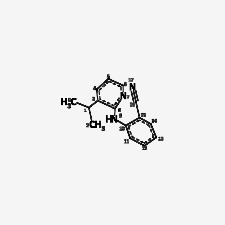 CC(C)c1cccnc1Nc1ccccc1C#N